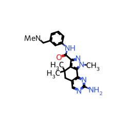 CNCc1cccc(NC(=O)c2nn(C)c3c2C(C)(C)Cc2cnc(N)nc2-3)c1